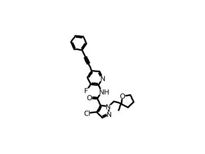 CC1(Cn2ncc(Cl)c2C(=O)Nc2ncc(C#Cc3ccccc3)cc2F)CCCO1